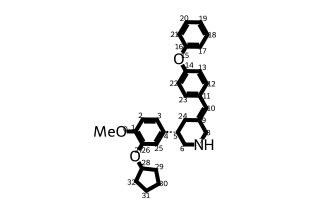 COc1ccc([C@H]2CNC/C(=C/c3ccc(Oc4ccccc4)cc3)C2)cc1OC1CCCC1